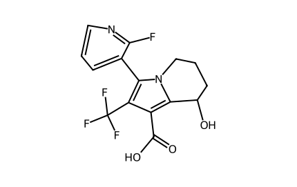 O=C(O)c1c(C(F)(F)F)c(-c2cccnc2F)n2c1C(O)CCC2